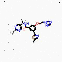 Cc1cnc(-c2cc(OCCn3cncn3)cc(C(=O)NC(C)c3cnc(C(F)(F)F)nc3)c2)s1